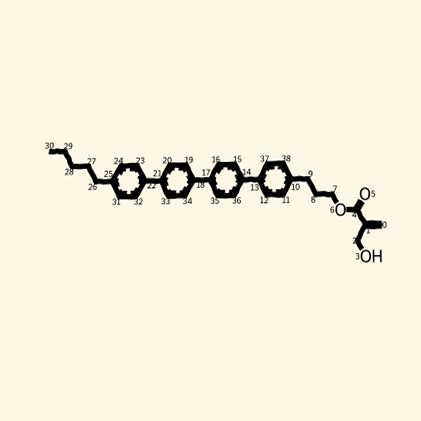 C=C(CO)C(=O)OCCCc1ccc(-c2ccc(-c3ccc(-c4ccc(CCCCC)cc4)cc3)cc2)cc1